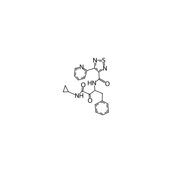 O=C(NC1CC1)C(=O)C(Cc1ccccc1)NC(=O)c1nsnc1-c1ccccn1